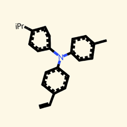 C=Cc1ccc(N(c2ccc(C)cc2)c2ccc(C(C)C)cc2)cc1